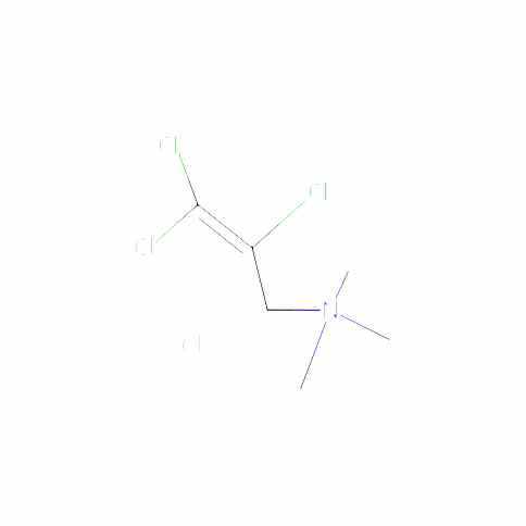 C[N+](C)(C)CC(Cl)=C(Cl)Cl.[Cl-]